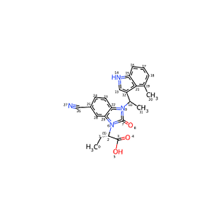 CC[C@@H](C(=O)O)n1c(=O)n(C(C)c2c[nH]c3cccc(C)c23)c2ccc(C#N)cc21